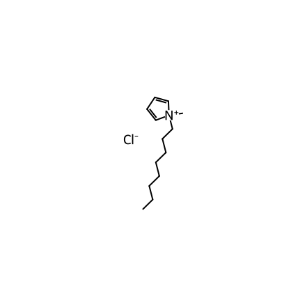 CCCCCCCC[N+]1(C)C=CC=C1.[Cl-]